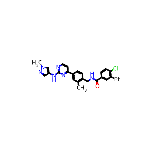 CCc1cc(C(=O)NCc2ccc(-c3ccnc(Nc4cnn(C)c4)n3)cc2C)ccc1Cl